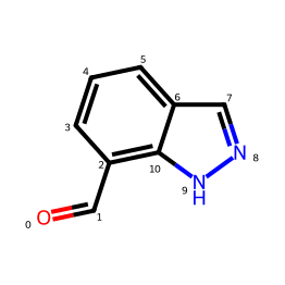 O=Cc1cccc2cn[nH]c12